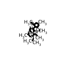 CCc1nc2c(-c3c(OC)cc(C)cc3OC)nccn2c1N(CC(C)C)CC(C)C